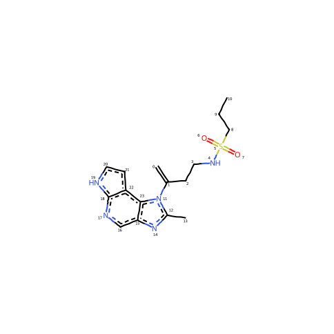 C=C(CCNS(=O)(=O)CCC)n1c(C)nc2cnc3[nH]ccc3c21